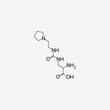 NC(CNC(=O)NCCN1CCCC1)C(=O)O